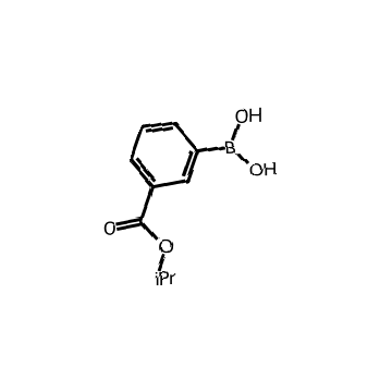 CC(C)OC(=O)c1cccc(B(O)O)c1